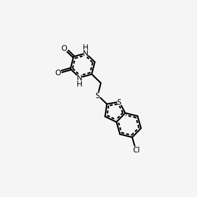 O=c1[nH]cc(CSc2cc3cc(Cl)ccc3s2)[nH]c1=O